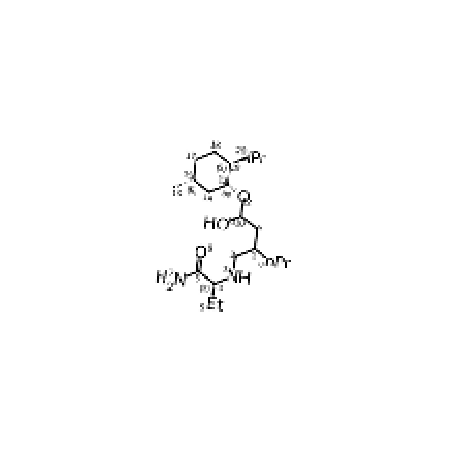 CCCC(CN[C@@H](CC)C(N)=O)CC(O)O[C@@H]1C[C@H](C)CC[C@H]1C(C)C